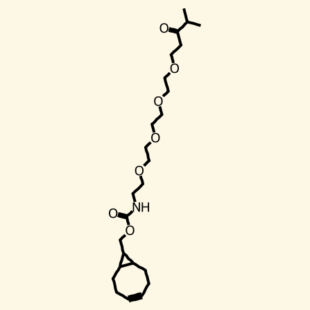 CC(C)C(=O)CCOCCOCCOCCOCCNC(=O)OCC1C2CCC#CCCC21